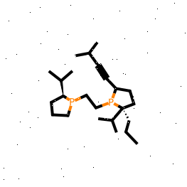 CCC[C@@]1(C(C)C)CCC(C#CC(C)C)P1CCP1CCC[C@H]1C(C)C